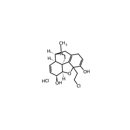 CN1CC[C@]23C4=C5CC=C(O)C4(CCCl)O[C@H]2[C@@H](O)C=C[C@H]3[C@H]1C5.Cl